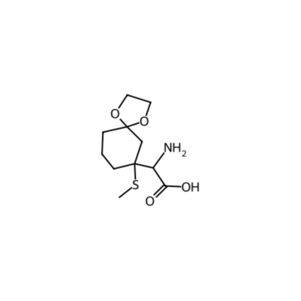 CSC1(C(N)C(=O)O)CCCC2(C1)OCCO2